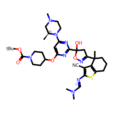 C[C@H]1CN(C)CCN1c1cc(OC2CCN(C(=O)OC(C)(C)C)CC2)nc(C2(O)CC(C3(C)CCCc4sc(/N=C/N(C)C)c(C#N)c43)=NO2)n1